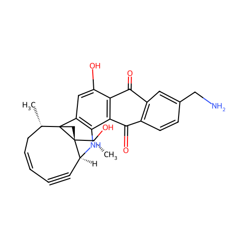 C[C@H]1C/C=C\C#C[C@@H]2Nc3c(cc(O)c4c3C(=O)c3ccc(CN)cc3C4=O)C13C[C@@]23[C@@H](C)O